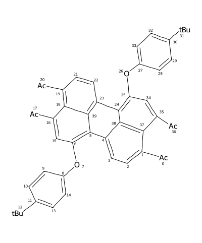 CC(=O)c1ccc2c3c(Oc4ccc(C(C)(C)C)cc4)cc(C(C)=O)c4c(C(C)=O)ccc(c5c(Oc6ccc(C(C)(C)C)cc6)cc(C(C)=O)c1c25)c43